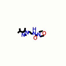 Cc1c(C(C)C)ncn1CCNC(=O)N1CCOCC1